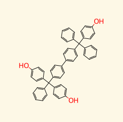 Oc1ccc(C(c2ccccc2)(c2ccccc2)c2ccc(-c3ccc(C(c4ccccc4)(c4ccc(O)cc4)c4ccc(O)cc4)cc3)cc2)cc1